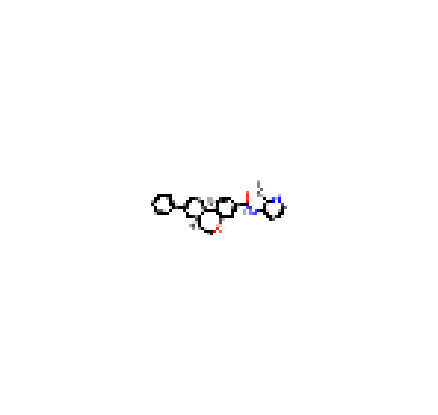 CC[C@]12CC=C(c3ccccc3)C[C@H]1CCOc1cc(C(=O)Nc3cccnc3C)ccc12